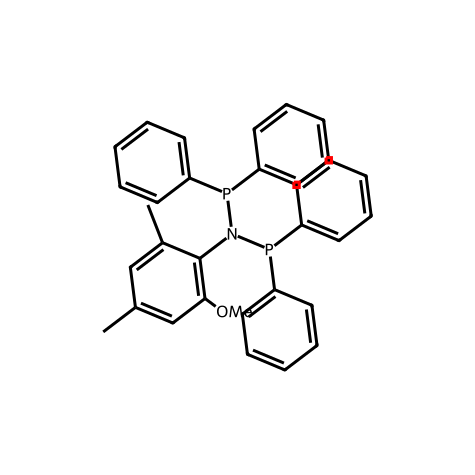 COc1cc(C)cc(C)c1N(P(c1ccccc1)c1ccccc1)P(c1ccccc1)c1ccccc1